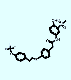 CS(=O)(=O)c1cc(NC(=O)Cc2ccc(SCCc3ccc(OC(F)(F)F)cc3)cc2)ccc1O